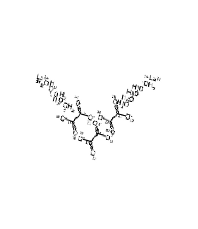 O.O.O.O.O.O.O.O.O.O.O=C([O-])C(=O)[O-].O=C([O-])C(=O)[O-].O=C([O-])C(=O)[O-].[La+3].[La+3]